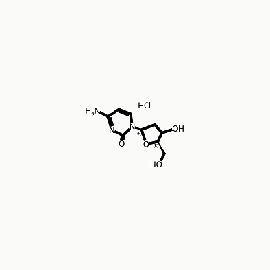 Cl.Nc1ccn([C@H]2CC(O)[C@@H](CO)O2)c(=O)n1